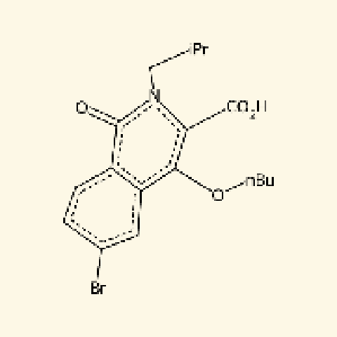 CCCCOc1c(C(=O)O)n(CC(C)C)c(=O)c2ccc(Br)cc12